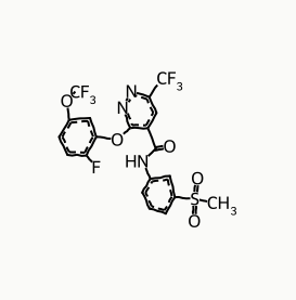 CS(=O)(=O)c1cccc(NC(=O)c2cc(C(F)(F)F)nnc2Oc2cc(OC(F)(F)F)ccc2F)c1